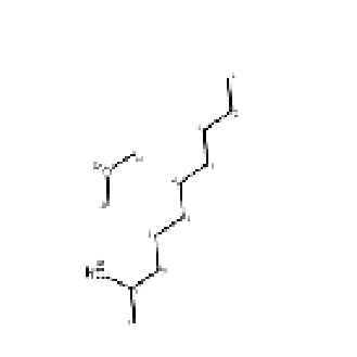 CCCCCCCCC(C)O.COC